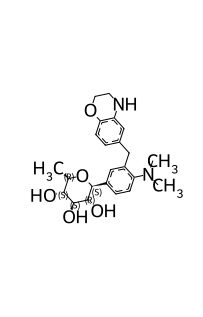 C[C@H]1O[C@@H](c2ccc(N(C)C)c(Cc3ccc4c(c3)NCCO4)c2)[C@H](O)[C@@H](O)[C@@H]1O